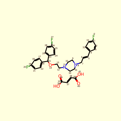 Fc1ccc(C=CCN2CCN(CCOC(c3ccc(F)cc3)c3ccc(F)cc3)CC2)cc1.O=C(O)C=CC(=O)O